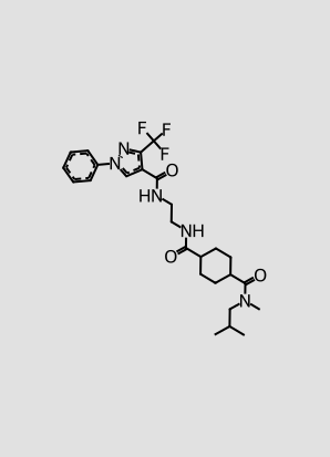 CC(C)CN(C)C(=O)C1CCC(C(=O)NCCNC(=O)c2cn(-c3ccccc3)nc2C(F)(F)F)CC1